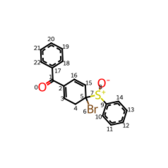 O=C(C1=CCC(Br)([S+]([O-])c2ccccc2)C=C1)c1ccccc1